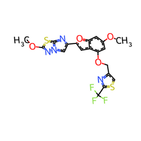 COc1cc(OCc2csc(C(F)(F)F)n2)c2cc(-c3cn4nc(OC)sc4n3)oc2c1